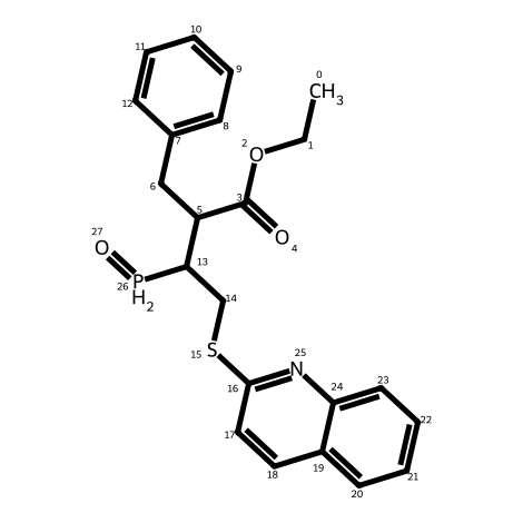 CCOC(=O)C(Cc1ccccc1)C(CSc1ccc2ccccc2n1)[PH2]=O